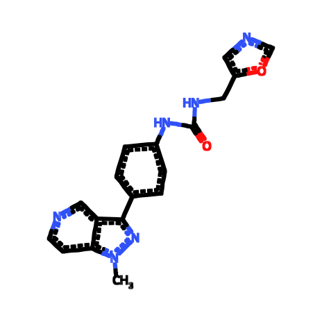 Cn1nc(-c2ccc(NC(=O)NCc3cnco3)cc2)c2cnccc21